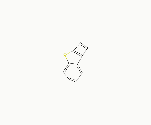 C1=Cc2c1sc1ccccc21